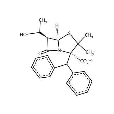 CC(O)[C@@H]1C(=O)N2[C@@H]1SC(C)(C)[C@@]2(C(=O)O)C(c1ccccc1)c1ccccc1